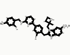 CC1(Cn2c(Cc3ccc(-c4cccc(OCc5ccc(C#N)cc5F)n4)cc3F)nc3ccc(C(=O)O)cc32)CCO1